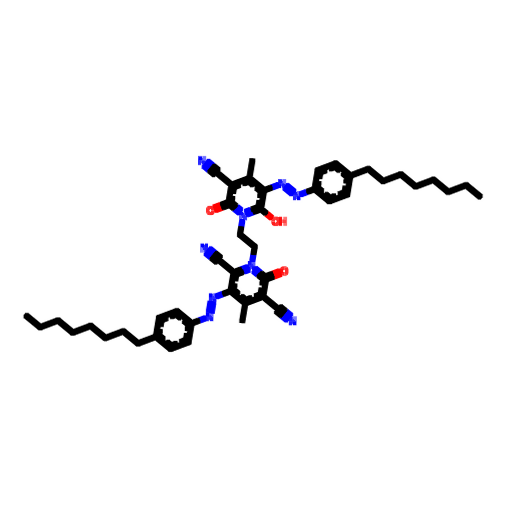 CCCCCCCCc1ccc(/N=N/c2c(C)c(C#N)c(=O)n(CCn3c(C#N)c(/N=N/c4ccc(CCCCCCCC)cc4)c(C)c(C#N)c3=O)c2O)cc1